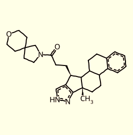 C[C@]12CCC3c4ccccc4CCC3C1[C@H](CCC(=O)N1CCC3(CCOCC3)C1)c1c[nH]nc12